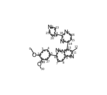 COc1ccc(-c2ccc3nc(C)c(-c4ccnc(-n5ccnc5)n4)n3n2)cc1OC